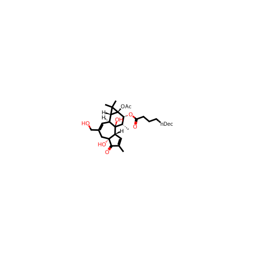 CCCCCCCCCCCCCC(=O)O[C@@H]1[C@H](C)[C@@]2(O)[C@@H](C=C(CO)C[C@]3(O)C(=O)C(C)=C[C@@H]23)[C@@H]2C(C)(C)[C@]12OC(C)=O